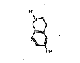 CC(C)N1CCc2cc(O)ccc2C1